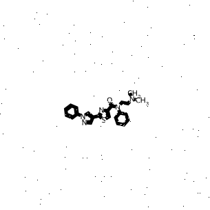 CN(C)CCN(C(=O)c1csc(-c2cnn(-c3ccccc3)c2)n1)C1CCCCC1